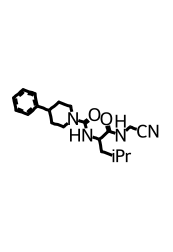 CC(C)CC(NC(=O)N1CCC(c2ccccc2)CC1)C(=O)NCC#N